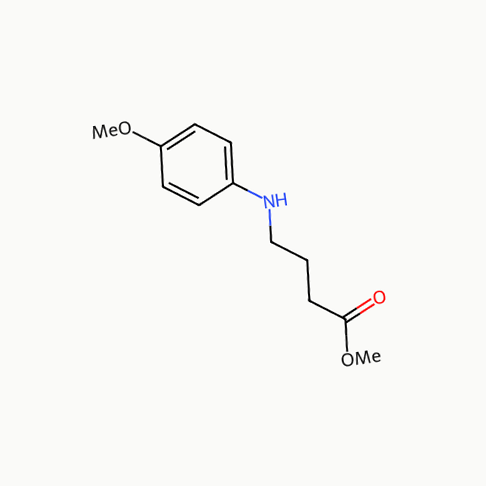 COC(=O)CCCNc1ccc(OC)cc1